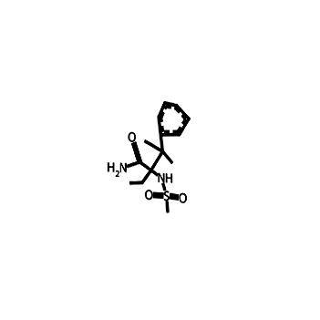 CCC(NS(C)(=O)=O)(C(N)=O)C(C)(C)c1ccccc1